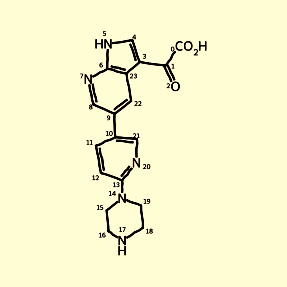 O=C(O)C(=O)c1c[nH]c2ncc(-c3ccc(N4CCNCC4)nc3)cc12